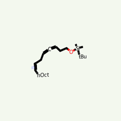 CCCCCCCC/C=C\CC=C=CCCO[Si](C)(C)C(C)(C)C